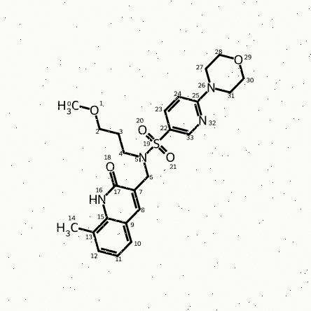 COCCCN(Cc1cc2cccc(C)c2[nH]c1=O)S(=O)(=O)c1ccc(N2CCOCC2)nc1